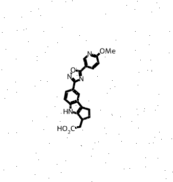 COc1ccc(-c2nc(-c3ccc4[nH]c5c(c4c3)CCC5CC(=O)O)no2)cn1